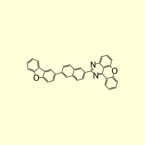 c1ccc2c(c1)Oc1cccc3nc(-c4ccc5cc(-c6ccc7oc8ccccc8c7c6)ccc5c4)nc-2c13